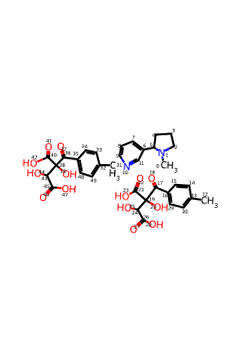 CN1CCCC1c1cccnc1.Cc1ccc(C(=O)C(O)(C(=O)O)C(O)C(=O)O)cc1.Cc1ccc(C(=O)C(O)(C(=O)O)C(O)C(=O)O)cc1